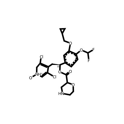 O=C(O[C@@H](CC1=C(Cl)C[NH+]([O-])C=C1Cl)c1ccc(OC(F)F)c(OCC2CC2)c1)C1CNCCO1